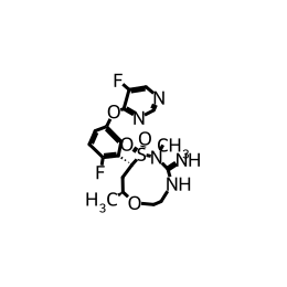 C[C@H]1C[C@H](c2cc(Oc3ncncc3F)ccc2F)S(=O)(=O)N(C)C(=N)NCCO1